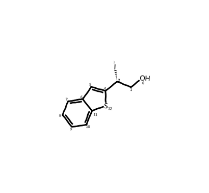 OC[C@@H](I)c1cc2ccccc2s1